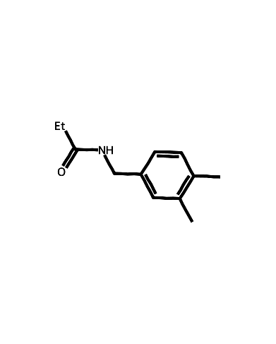 CCC(=O)NCc1ccc(C)c(C)c1